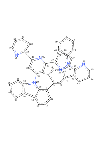 c1ccc(-n2c3ccc(-c4cccc5c6ccccc6n(-c6cc(-c7ccccn7)nc(-c7ccccn7)c6)c45)cc3c3cccnc32)cc1